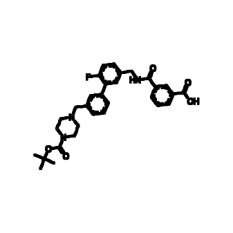 CC(C)(C)OC(=O)N1CCN(Cc2cccc(-c3cc(CNC(=O)c4cccc(C(=O)O)c4)ccc3F)c2)CC1